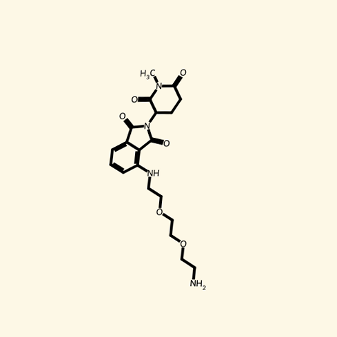 CN1C(=O)CCC(N2C(=O)c3cccc(NCCOCCOCCN)c3C2=O)C1=O